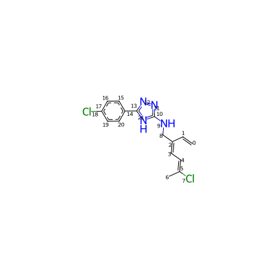 C=C/C(=C\C=C(/C)Cl)CNc1nnc(-c2ccc(Cl)cc2)[nH]1